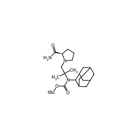 CC(C)(C)OC(=O)N(C1C2CC3CC(C2)CC1C3)C(C)(C)CN1CCC[C@@H]1C(N)=O